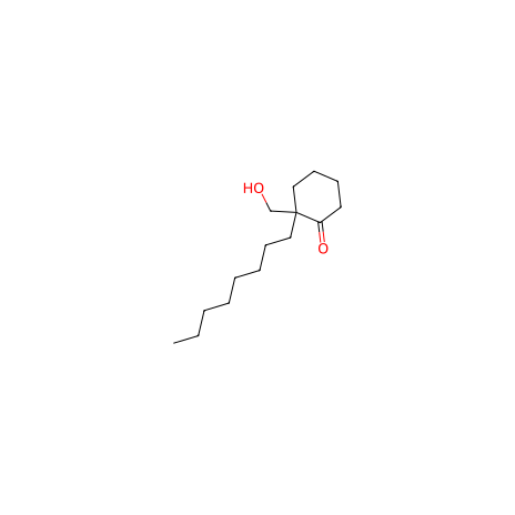 CCCCCCCCC1(CO)CCCCC1=O